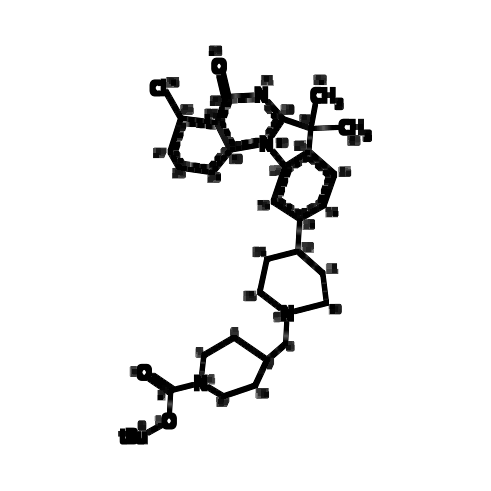 CC(C)(C)OC(=O)N1CCC(CN2CCC(c3ccc4c(c3)-n3c(nc(=O)c5c(Cl)cccc53)C4(C)C)CC2)CC1